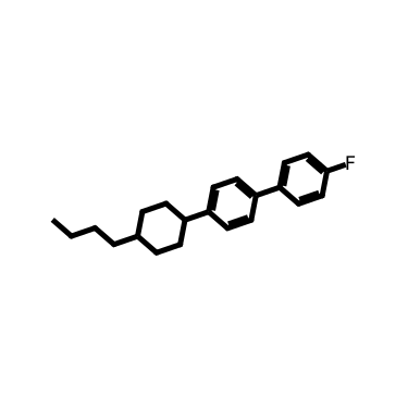 CCCCC1CCC(c2ccc(-c3ccc(F)cc3)cc2)CC1